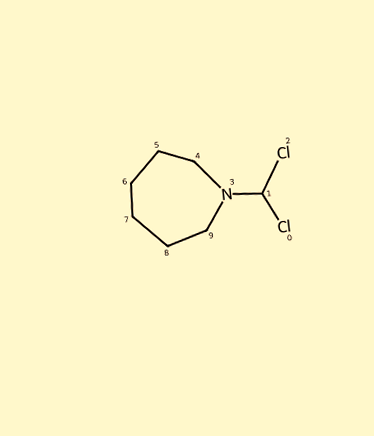 ClC(Cl)N1CCCCCC1